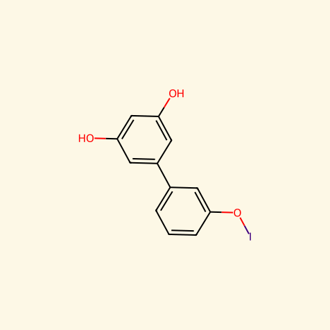 Oc1cc(O)cc(-c2cccc(OI)c2)c1